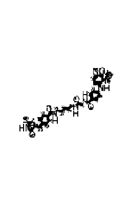 O=C(CNC(=O)c1ccc(Nc2ccc([N+](=O)[O-])c3nonc23)cc1)NCCCCCNC(=O)c1ccc(/C=C2\SC(=S)NC2=O)cc1